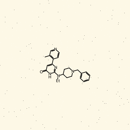 CCN(c1nc(-c2ccncc2C)cc(=O)[nH]1)C1CCN(Cc2ccccc2)CC1